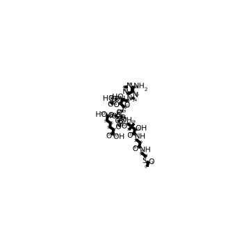 CC(=O)SCCNC(=O)CCNC(=O)C(O)C(C)(C)COP(=O)(O)OP(=O)(O)OC[C@H]1O[C@@H](n2cnc3c(N)ncnc32)[C@H](O)[C@@H]1OP(=O)(O)O.O=C(O)CCCCC(=O)O